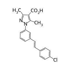 Cc1nn(-c2cccc(C=Cc3ccc(Cl)cc3)c2)c(C)c1C(=O)O